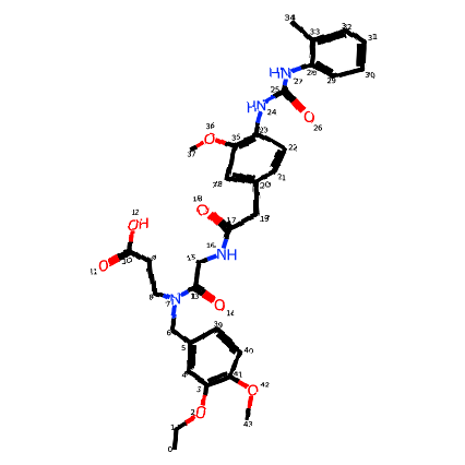 CCOc1cc(CN(CCC(=O)O)C(=O)CNC(=O)Cc2ccc(NC(=O)Nc3ccccc3C)c(OC)c2)ccc1OC